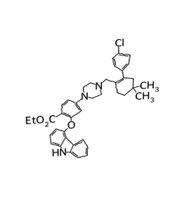 CCOC(=O)c1ccc(N2CCN(CC3=C(c4ccc(Cl)cc4)CC(C)(C)CC3)CC2)cc1Oc1cccc2[nH]c3ccccc3c12